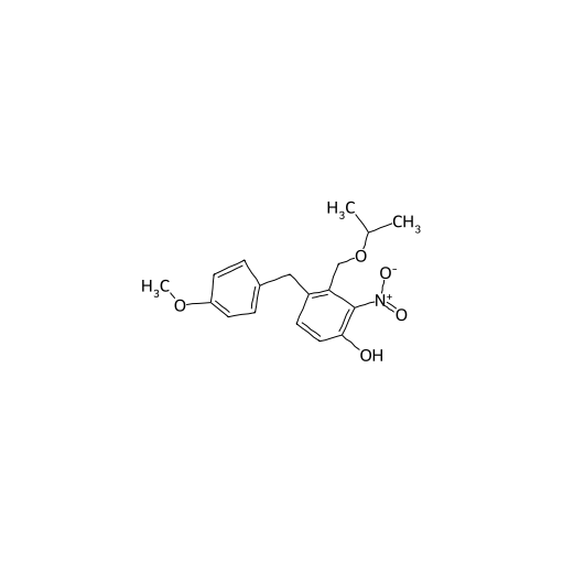 COc1ccc(Cc2ccc(O)c([N+](=O)[O-])c2COC(C)C)cc1